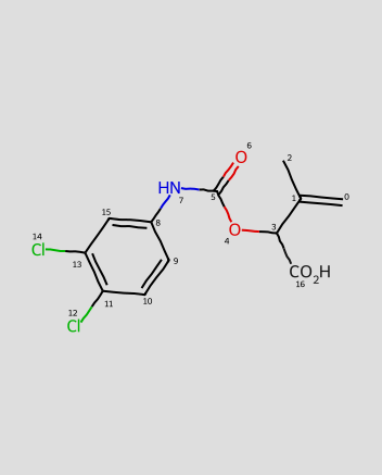 C=C(C)C(OC(=O)Nc1ccc(Cl)c(Cl)c1)C(=O)O